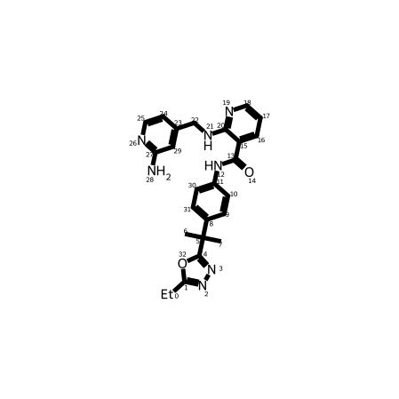 CCc1nnc(C(C)(C)c2ccc(NC(=O)c3cccnc3NCc3ccnc(N)c3)cc2)o1